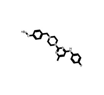 CCCCOc1ccc(CN2CCN(c3nc(C)cc(Nc4ccc(F)cc4)n3)CC2)cc1